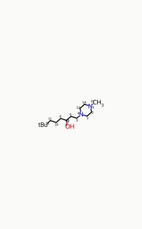 CN1CCN(CC[C@@H](O)CCCC(C)(C)C)CC1